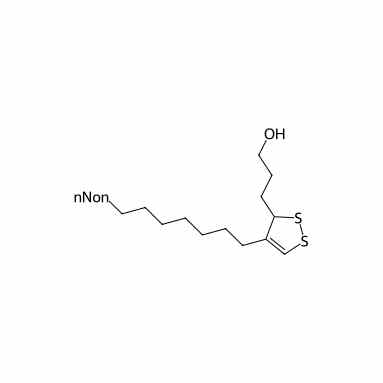 CCCCCCCCCCCCCCCCC1=CSSC1CCCO